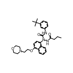 CCCC(=O)NN(C(=O)Nc1cccc(C(C)(C)C)c1)c1ccc(OCCN2CCOCC2)c2ccccc12